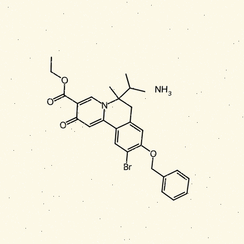 CCOC(=O)c1cn2c(cc1=O)-c1cc(Br)c(OCc3ccccc3)cc1CC2(C)C(C)C.N